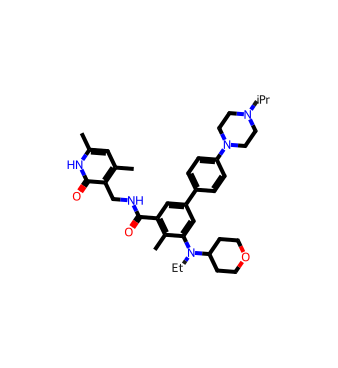 CCN(c1cc(-c2ccc(N3CCN(C(C)C)CC3)cc2)cc(C(=O)NCc2c(C)cc(C)[nH]c2=O)c1C)C1CCOCC1